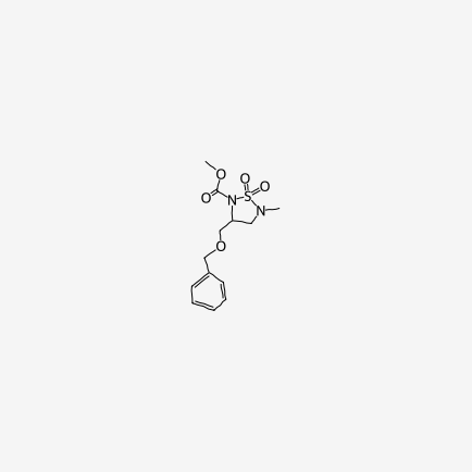 COC(=O)N1C(COCc2ccccc2)CN(C)S1(=O)=O